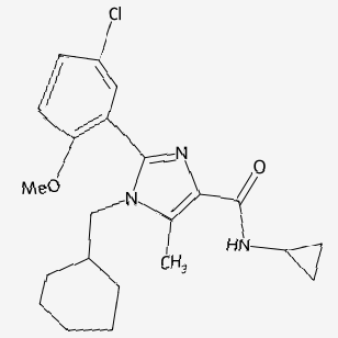 COc1ccc(Cl)cc1-c1nc(C(=O)NC2CC2)c(C)n1CC1CCCCC1